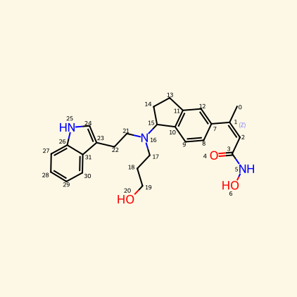 C/C(=C/C(=O)NO)c1ccc2c(c1)CCC2N(CCCO)CCc1c[nH]c2ccccc12